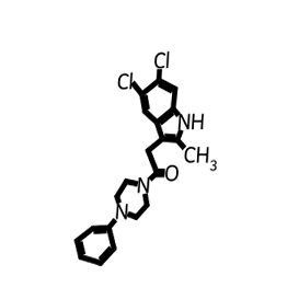 Cc1[nH]c2cc(Cl)c(Cl)cc2c1CC(=O)N1CCN(c2ccccc2)CC1